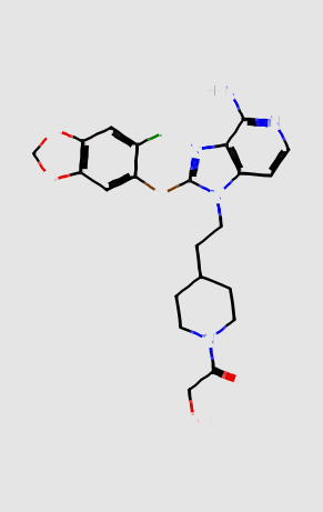 Nc1nccc2c1nc(Sc1cc3c(cc1Br)OCO3)n2CCC1CCN(C(=O)CO)CC1